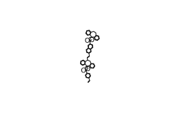 C=Cc1ccc(C(=O)OC2(C)c3ccccc3CC(/C=C/c3ccc4cc(C(=O)OC5(C)c6ccccc6CCc6ccccc65)ccc4c3)c3ccccc32)cc1